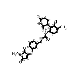 Cc1ccc(NC(=O)NCc2cccc(OC3=CC(=O)N(C)C3=O)c2)c(C2CCC(=O)NC2=O)c1Cl